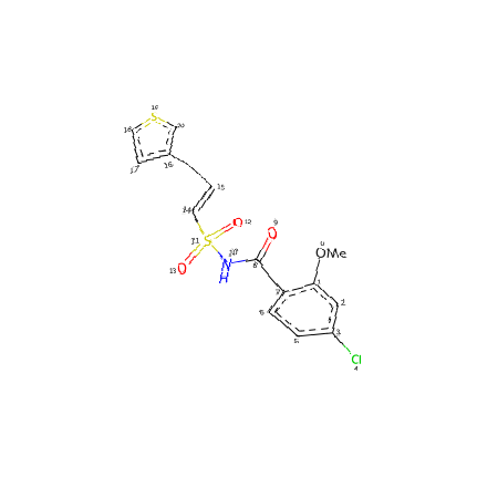 COc1cc(Cl)ccc1C(=O)NS(=O)(=O)C=Cc1ccsc1